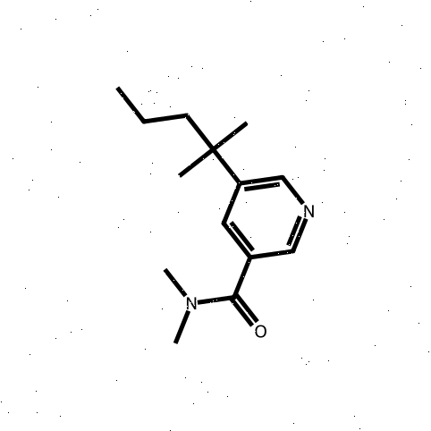 CCCC(C)(C)c1cncc(C(=O)N(C)C)c1